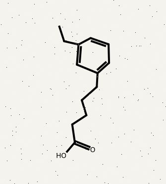 CCc1cccc(CCCCC(=O)O)c1